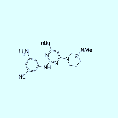 CCCCc1cc(N2CCC[C@@H](NC)C2)nc(Nc2cc(N)cc(C#N)c2)n1